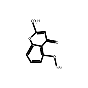 CCCCOc1cccc2oc(C(=O)O)cc(=O)c12